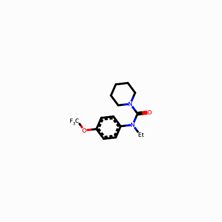 CCN(C(=O)N1CCCCC1)c1ccc(OC(F)(F)F)cc1